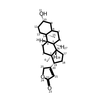 C[C@]12CC[C@H]3[C@@H](CCC4C[C@@H](O)CC[C@@]43C)[C@@H]1CC[C@@H]2C1=CC(=O)OC1